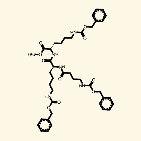 CC(C)(C)OC(=O)[C@H](CCCCNC(=O)OCc1ccccc1)NC(=O)[C@H](CCCCNC(=O)OCc1ccccc1)NC(=O)CCCNC(=O)OCc1ccccc1